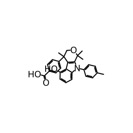 Cc1ccc(-n2c3c(c4c(O)cccc42)C(C)(c2ccc(C(=O)O)cc2)COC3(C)C)cc1